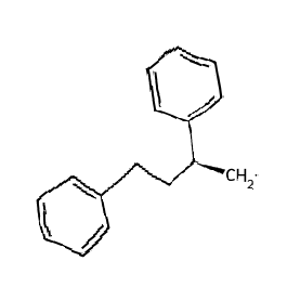 [CH2][C@@H](CCc1ccccc1)c1ccccc1